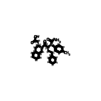 Cc1ccc(N(C(N)=O)[C@@H](CCc2ccccc2)C(=O)N2Cc3ccccc3C[C@@H]2CC(=O)O)cc1